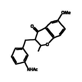 COc1ccc2c(c1)C(=O)C(Cc1cccc(NC(C)=O)c1)C(C)O2